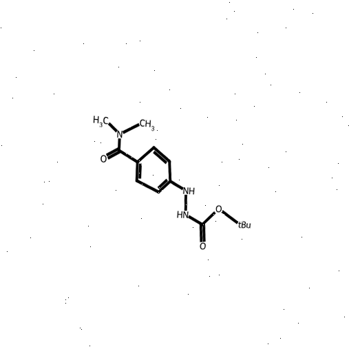 CN(C)C(=O)c1ccc(NNC(=O)OC(C)(C)C)cc1